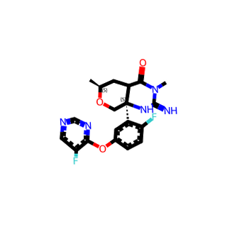 C[C@H]1CC2C(=O)N(C)C(=N)N[C@@]2(c2cc(Oc3ncncc3F)ccc2F)CO1